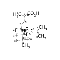 C=C(C)C(=O)O.CC(=CCC(F)(F)C(F)(F)C(C)(F)F)C(=O)O